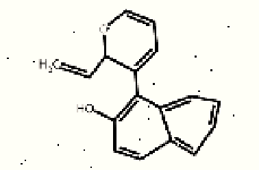 C=CC1OC=CC=C1c1c(O)ccc2ccccc12